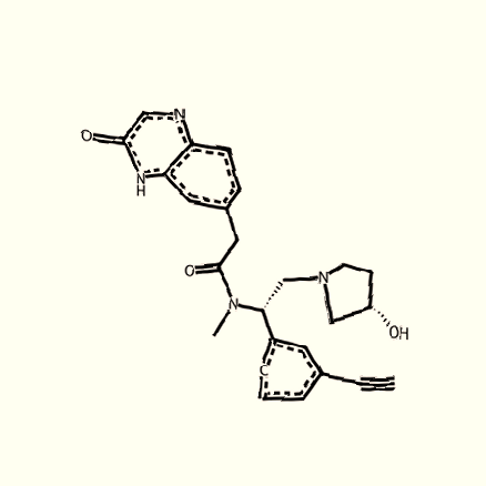 C#Cc1cccc([C@@H](CN2CC[C@H](O)C2)N(C)C(=O)Cc2ccc3ncc(=O)[nH]c3c2)c1